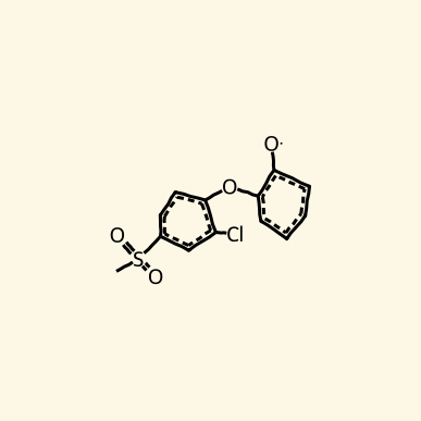 CS(=O)(=O)c1ccc(Oc2ccccc2[O])c(Cl)c1